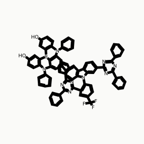 Oc1ccc2c(c1)B1c3cc(O)ccc3N(c3ccccc3)c3cc(-c4ccc5c(c4)c4ccc(-c6nc(-c7ccccc7)nc(-c7ccccc7)n6)cc4n5-c4ccc(C(F)(F)F)cc4-c4nc(-c5ccccc5)nc(-c5ccccc5)n4)cc(c31)N2c1ccccc1